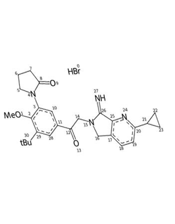 Br.COc1c(N2CCCC2=O)cc(C(=O)CN2Cc3ccc(C4CC4)nc3C2=N)cc1C(C)(C)C